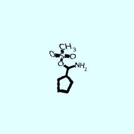 CS(=O)(=O)OC(N)C1CCCC1